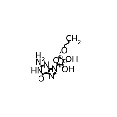 C=CCOC[C@H]1O[C@@H](n2cnc3c(=O)[nH]c(N)nc32)[C@H](O)[C@@H]1O